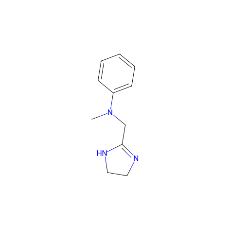 CN(CC1=NCCN1)c1ccccc1